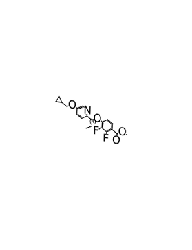 CC[C@@H](Oc1ccc(C(=O)OC)c(F)c1F)c1ccc(OCC2CC2)cn1